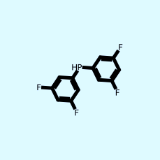 Fc1cc(F)cc(Pc2cc(F)cc(F)c2)c1